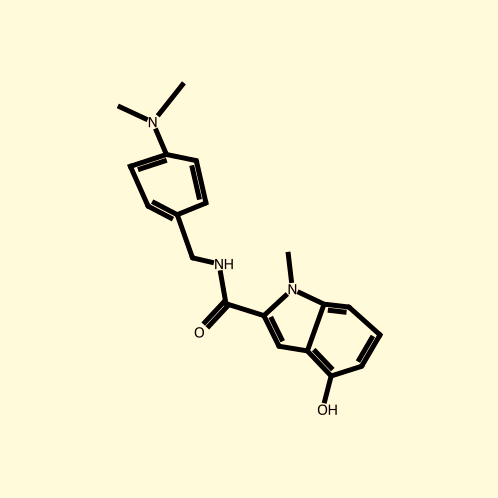 CN(C)c1ccc(CNC(=O)c2cc3c(O)cccc3n2C)cc1